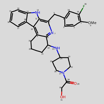 COc1ccc(Cc2nc3c(c4c2[nH]c2ccccc24)CCCC3NC2CCN(C(=O)CO)CC2)cc1F